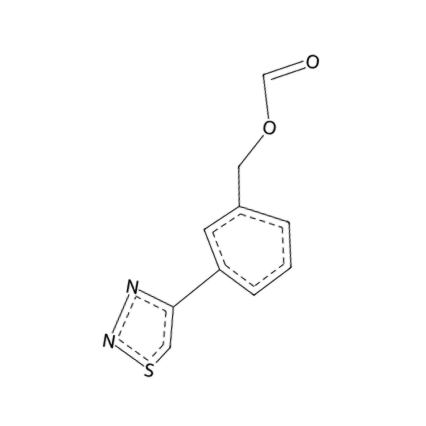 O=COCc1cccc(-c2csnn2)c1